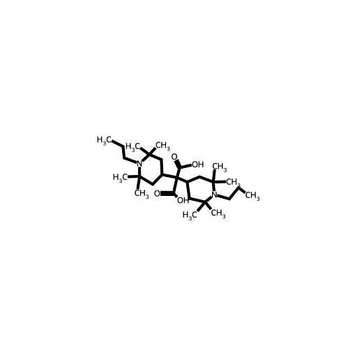 CCCN1C(C)(C)CC(C(C(=O)O)(C(=O)O)C2CC(C)(C)N(CCC)C(C)(C)C2)CC1(C)C